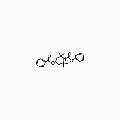 CC1(C)CC(OC(=O)c2ccccc2)CC(C)(C)N1C(=O)Oc1ccccc1